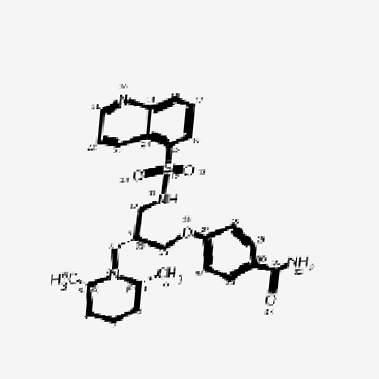 C[C@@H]1CCC[C@H](C)N1C[C@H](CNS(=O)(=O)c1cccc2ncccc12)COc1ccc(C(N)=O)cc1